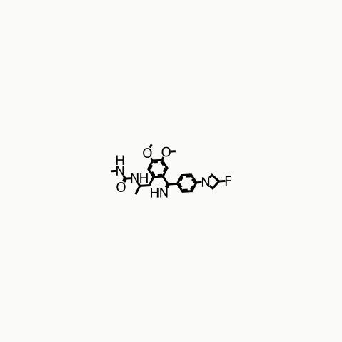 CNC(=O)NC(C)Cc1cc(OC)c(OC)cc1C(=N)c1ccc(N2CC(F)C2)cc1